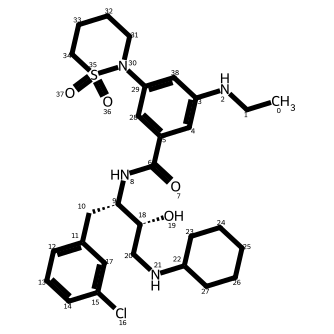 CCNc1cc(C(=O)N[C@@H](Cc2cccc(Cl)c2)[C@H](O)CNC2CCCCC2)cc(N2CCCCS2(=O)=O)c1